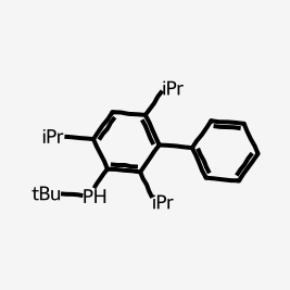 CC(C)c1cc(C(C)C)c(-c2ccccc2)c(C(C)C)c1PC(C)(C)C